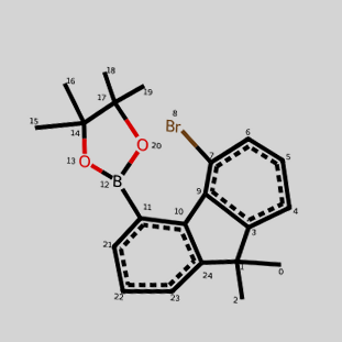 CC1(C)c2cccc(Br)c2-c2c(B3OC(C)(C)C(C)(C)O3)cccc21